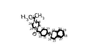 CC(C)N1CCN(C(=O)C2CCC(N3CCc4ccccc4C3)CC2)CC1